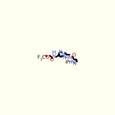 CC(C)n1nccc1C(=O)NCc1cn2ncc(CNC(=O)COCC(F)(F)F)cc2n1